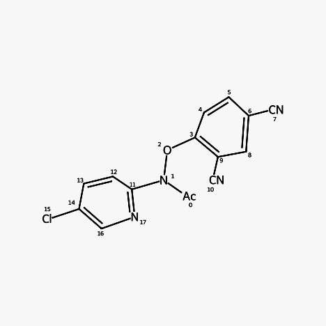 CC(=O)N(Oc1ccc(C#N)cc1C#N)c1ccc(Cl)cn1